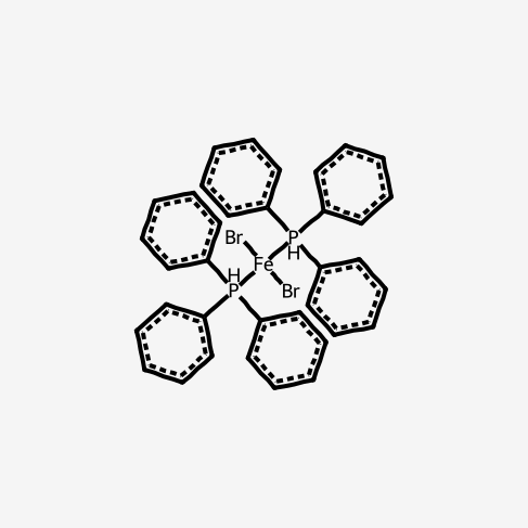 [Br][Fe]([Br])([PH](c1ccccc1)(c1ccccc1)c1ccccc1)[PH](c1ccccc1)(c1ccccc1)c1ccccc1